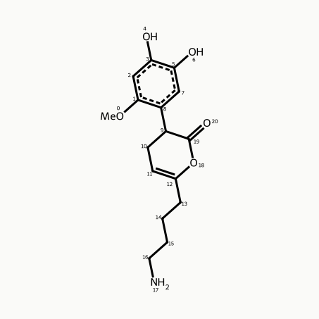 COc1cc(O)c(O)cc1C1CC=C(CCCCN)OC1=O